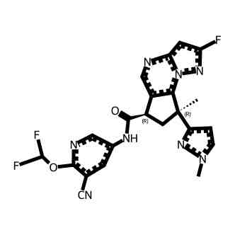 Cn1ccc([C@@]2(C)C[C@@H](C(=O)Nc3cnc(OC(F)F)c(C#N)c3)c3cnc4cc(F)nn4c32)n1